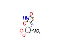 O=C1NC(=O)/C(=C\c2cc3c(cc2[N+](=O)[O-])OCO3)S1